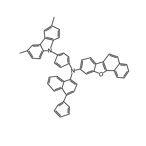 Cc1ccc2c(c1)c1cc(C)ccc1n2-c1ccc(N(c2ccc3c(c2)oc2c4ccccc4ccc32)c2ccc(-c3ccccc3)c3ccccc23)cc1